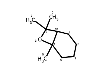 CC1(C)OC2(C)CCCCC12